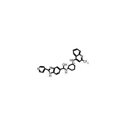 OC(N[C@@H]1CCC[C@H](Nc2cc(C(F)(F)F)nc3ccccc23)C1)c1ccc2[nH]c(-c3ccncc3)nc2c1